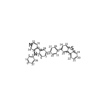 c1ccc(-n2c3ccc(-c4ccc(-c5ccc6sc7ccccc7c6c5)cc4)cc3c3ccncc32)cc1